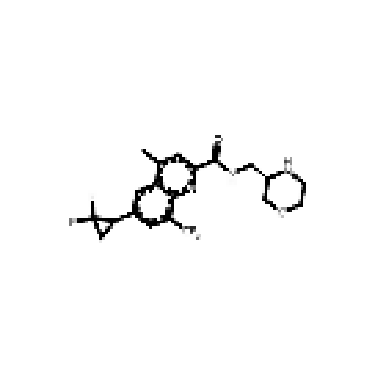 Cc1cc(C(=O)NC[C@@H]2COCCN2)nc2c(C(F)(F)F)cc(C3CC3(F)F)cc12